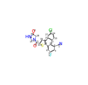 N#Cc1cc(F)cc(-c2sc(C(=O)N3CNC(=O)C3)cc2-c2cccc(Cl)c2)c1